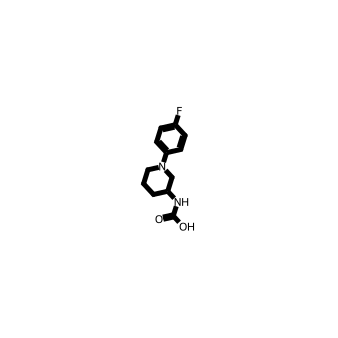 O=C(O)NC1CCCN(c2ccc(F)cc2)C1